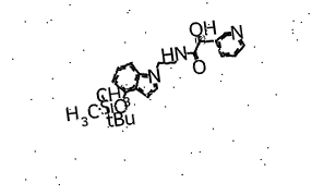 CC(C)(C)[Si](C)(C)Oc1cccc2c1ccn2CCNC(=O)[C@H](O)c1cccnc1